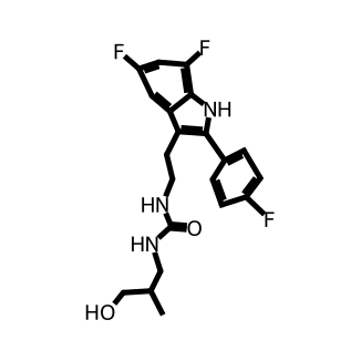 CC(CO)CNC(=O)NCCc1c(-c2ccc(F)cc2)[nH]c2c(F)cc(F)cc12